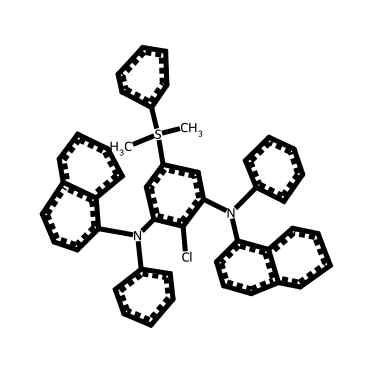 CS(C)(c1ccccc1)c1cc(N(c2ccccc2)c2cccc3ccccc23)c(Cl)c(N(c2ccccc2)c2cccc3ccccc23)c1